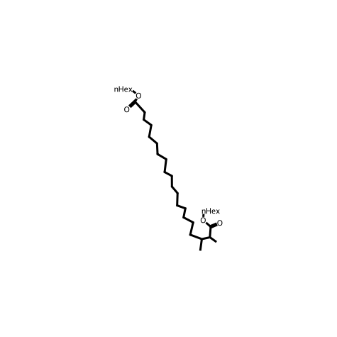 CCCCCCOC(=O)CCCCCCCCCCCCCCCCC(C)C(C)C(=O)OCCCCCC